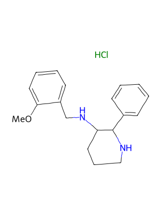 COc1ccccc1CNC1CCCNC1c1ccccc1.Cl